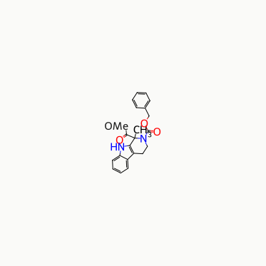 COC(=O)C1(C)c2[nH]c3ccccc3c2CCN1C(=O)OCc1ccccc1